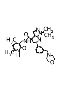 Cc1cc(C)c(CNC(=O)c2cc(-c3cccc(CN4CCOCC4)c3)nc3c2cnn3C(C)C)c(=O)[nH]1